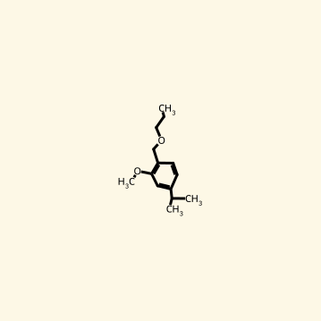 CCCOCc1ccc(C(C)C)cc1OC